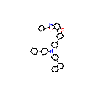 c1ccc(-c2ccc(N(c3ccc(-c4ccc5oc6ccc7nc(-c8ccccc8)oc7c6c5c4)cc3)c3ccc(-c4cccc5ccccc45)cc3)cc2)cc1